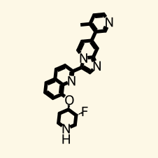 Cc1ccncc1-c1ccn2c(-c3ccc4cccc(O[C@@H]5CCNC[C@H]5F)c4n3)cnc2c1